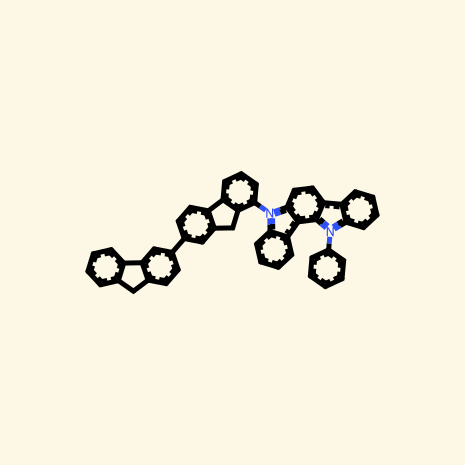 c1ccc(-n2c3ccccc3c3ccc4c(c5ccccc5n4-c4cccc5c4Cc4cc(-c6ccc7c(c6)-c6ccccc6C7)ccc4-5)c32)cc1